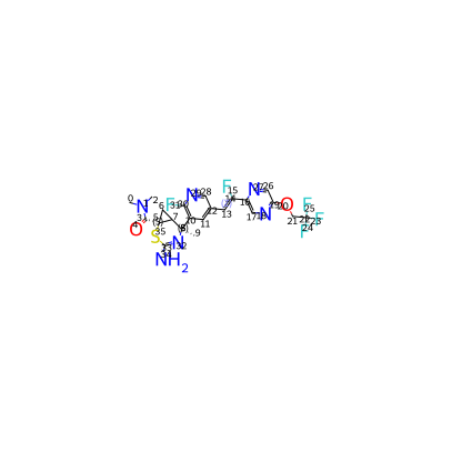 CN(C)C(=O)[C@]12CC1[C@@](C)(c1cc(/C=C(\F)c3cnc(OCC(F)(F)F)cn3)cnc1F)N=C(N)S2